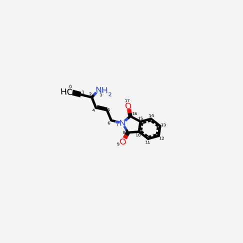 C#CC(N)C=CCN1C(=O)c2ccccc2C1=O